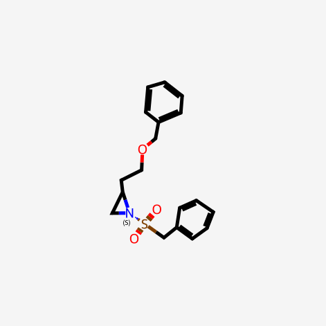 O=S(=O)(Cc1ccccc1)[N@]1CC1CCOCc1ccccc1